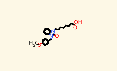 COc1ccc(Cn2c(=O)n(CCCCCCCC(=O)O)c3ccccc32)cc1